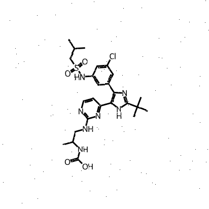 CC(C)CS(=O)(=O)Nc1cc(Cl)cc(-c2nc(C(C)(C)C)[nH]c2-c2ccnc(NCC(C)NC(=O)O)n2)c1